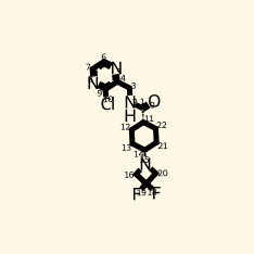 O=C(NCc1nccnc1Cl)[C@H]1CC[C@@H](N2CC(F)(F)C2)CC1